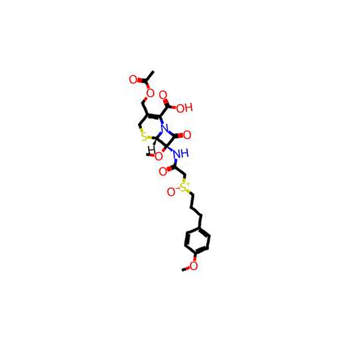 COc1ccc(CCC[S+]([O-])CC(=O)N[C@]2(OC)C(=O)N3C(C(=O)O)=C(COC(C)=O)CS[C@H]32)cc1